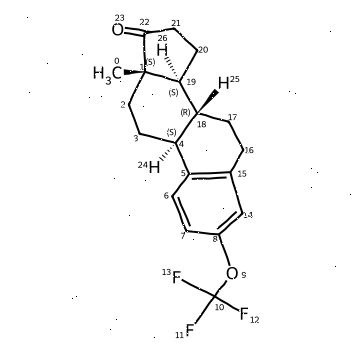 C[C@]12CC[C@@H]3c4ccc(OC(F)(F)F)cc4CC[C@H]3[C@@H]1CCC2=O